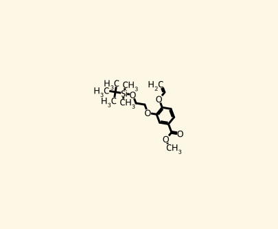 C=COc1ccc(C(=O)OC)cc1OCCO[Si](C)(C)C(C)(C)C